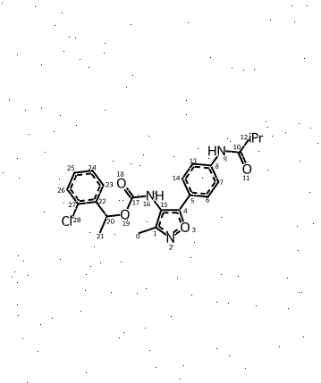 Cc1noc(-c2ccc(NC(=O)C(C)C)cc2)c1NC(=O)OC(C)c1ccccc1Cl